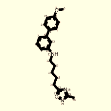 COc1ccc(-c2cccc(NCCCCCc3nc(C)no3)c2)cc1